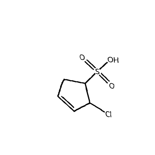 O=S(=O)(O)C1CC=CC1Cl